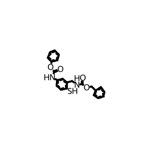 O=C(NCc1cc(NC(=O)Oc2ccccc2)ccc1S)OCc1ccccc1